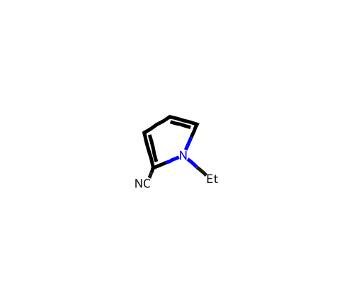 CCn1cccc1C#N